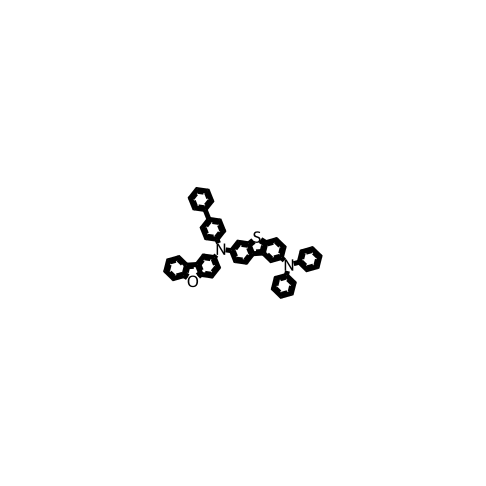 c1ccc(-c2ccc(N(c3ccc4c(c3)sc3ccc(N(c5ccccc5)c5ccccc5)cc34)c3ccc4oc5ccccc5c4c3)cc2)cc1